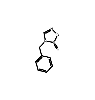 O=S1ON=CN1Cc1ccccc1